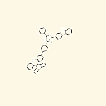 c1ccc(-c2nc(-c3ccc(-c4ccc5c(c4)Sc4ccccc4C54c5ccccc5-c5ccccc54)cc3)nc(-c3ccc4c(c3)oc3ccccc34)n2)cc1